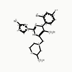 CCOC(=O)C1=C(CN2CCOC(C(=O)O)C2)NC(n2cnc(C#N)n2)=NC1c1ccc(F)cc1Br